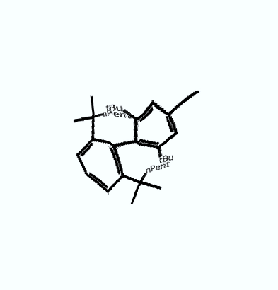 CCCCCC(C)(C)c1[c]ccc(C(C)(C)CCCCC)c1-c1c(C(C)(C)C)cc(C)cc1C(C)(C)C